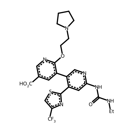 CCNC(=O)Nc1cc(-c2nc(C(F)(F)F)cs2)c(-c2cc(C(=O)O)cnc2OCCN2CCCC2)cn1